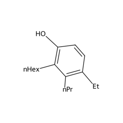 CCCCCCc1c(O)ccc(CC)c1CCC